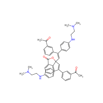 CC(=O)c1cccc(C(=CC2(C=C(c3ccc(NCCN(C)C)cc3)c3cccc(C(C)=O)c3)OC(=O)c3ccccc32)c2ccc(NCCN(C)C)cc2)c1